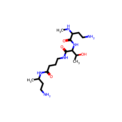 CNC(CCN)C(=O)NC(C(=O)NCCCC(=O)NC(C)CCN)C(C)O